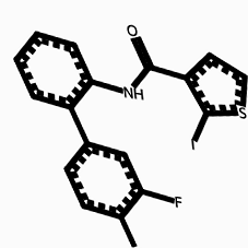 O=C(Nc1ccccc1-c1ccc(Br)c(F)c1)c1ccsc1I